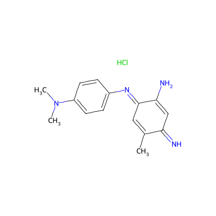 CC1=CC(=Nc2ccc(N(C)C)cc2)C(N)=CC1=N.Cl